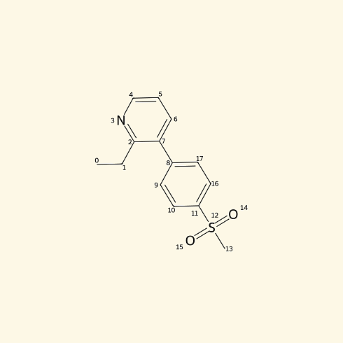 CCc1ncccc1-c1ccc(S(C)(=O)=O)cc1